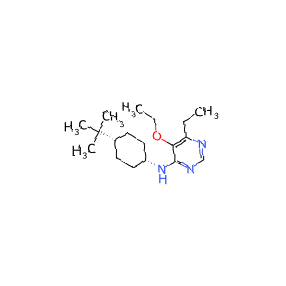 CCOc1c(CC)ncnc1N[C@H]1CC[C@@H](C(C)(C)C)CC1